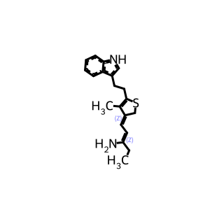 CC/C(N)=C/C=C1\CSC(CCc2c[nH]c3ccccc23)=C1C